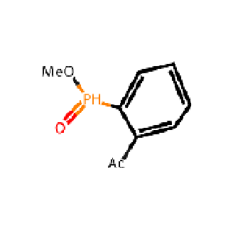 CO[PH](=O)c1ccccc1C(C)=O